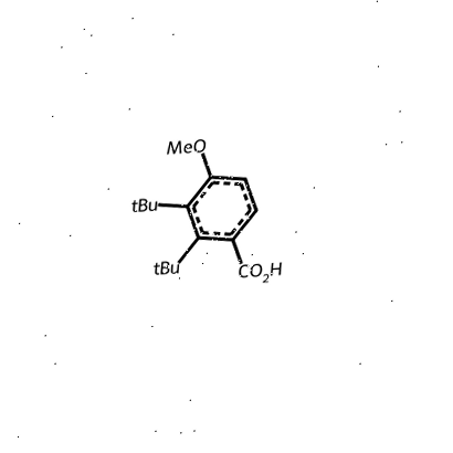 COc1ccc(C(=O)O)c(C(C)(C)C)c1C(C)(C)C